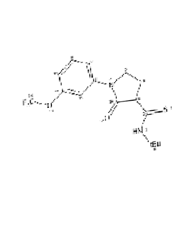 CC(C)(C)NC(=S)C1CCN(c2cccc(OC(F)(F)F)c2)C1=O